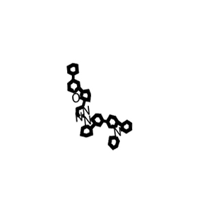 c1ccc(-c2ccc3oc4c(-c5ccnc(-n6c7ccccc7c7cc(-c8ccc9c%10ccccc%10n(-c%10ccccc%10)c9c8)ccc76)n5)cccc4c3c2)cc1